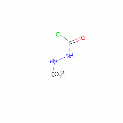 O=C(O)NNC(=O)Cl